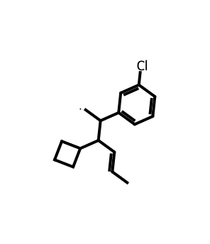 [CH2]C(c1cccc(Cl)c1)C(/C=C/C)C1CCC1